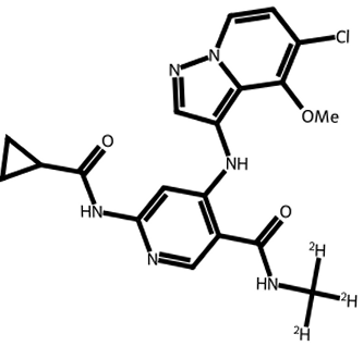 [2H]C([2H])([2H])NC(=O)c1cnc(NC(=O)C2CC2)cc1Nc1cnn2ccc(Cl)c(OC)c12